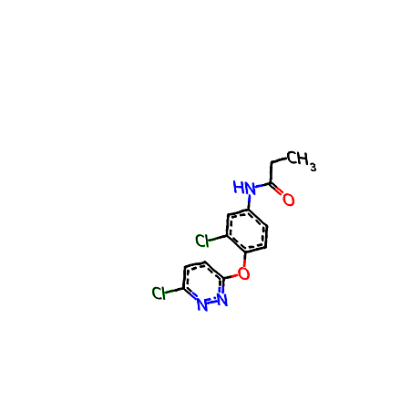 CCC(=O)Nc1ccc(Oc2ccc(Cl)nn2)c(Cl)c1